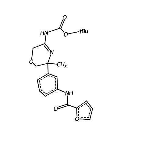 CC(C)(C)OC(=O)NC1=NC(C)(c2cccc(NC(=O)c3ccco3)c2)COC1